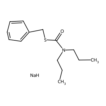 CCCN(CCC)C(=O)SCc1ccccc1.[NaH]